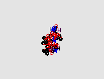 CC(=O)OCC1O[C@@H](O[C@@H]2C(CO[Si](c3ccccc3)(c3ccccc3)C(C)(C)C)O[C@@H](O[C@@H]3C(COC(C)=O)O[C@@H](O[C@@H]4C(CO[Si](c5ccccc5)(c5ccccc5)C(C)(C)C)O[C@@H](C)C(N=[N+]=[N-])[C@H]4PBB=O)C(C)[C@@H]3OCc3ccccc3)C(N=[N+]=[N-])[C@H]2C)C(OC(=O)c2ccccc2)[C@@H](C)[C@@H]1O[C@@H]1OC(CO[Si](c2ccccc2)(c2ccccc2)C(C)(C)C)[C@@H](C)[C@H](PBB=O)C1N=[N+]=[N-]